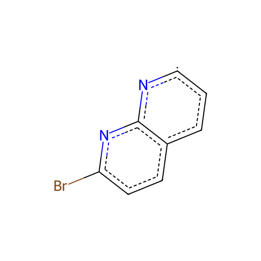 Brc1ccc2cc[c]nc2n1